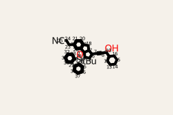 CC(C)(C)[Si](OC12CCC(C#CC(O)C3CCCCC3)C1Cc1ccc(CCC#N)cc12)(c1ccccc1)c1ccccc1